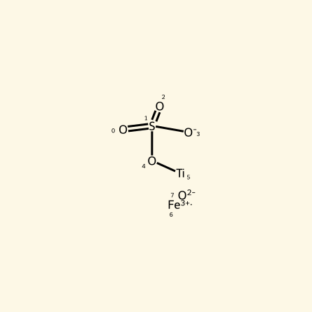 O=S(=O)([O-])[O][Ti].[Fe+3].[O-2]